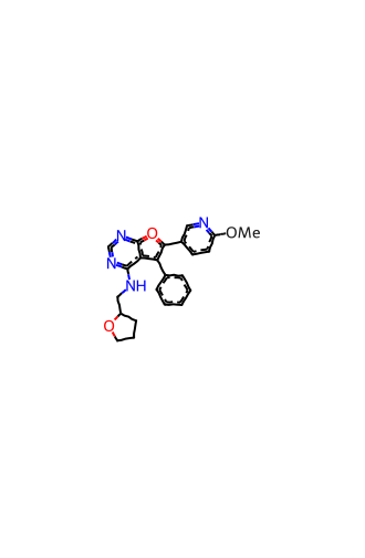 COc1ccc(-c2oc3ncnc(NCC4CCCO4)c3c2-c2ccccc2)cn1